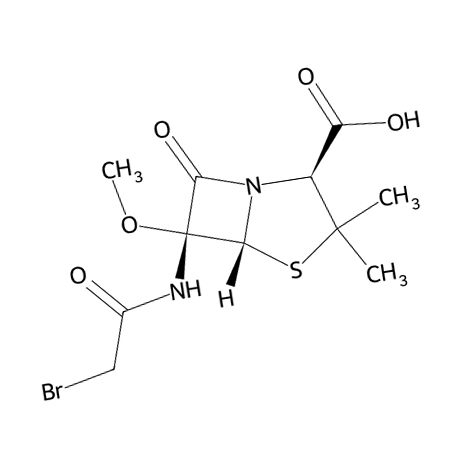 CO[C@]1(NC(=O)CBr)C(=O)N2[C@@H](C(=O)O)C(C)(C)S[C@@H]21